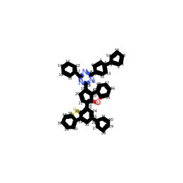 c1ccc(-c2ccc(-c3nc(-c4ccccc4)nc(-c4ccc(-c5cc(-c6ccccc6)cc6c5sc5ccccc56)c5oc6ccccc6c45)n3)cc2)cc1